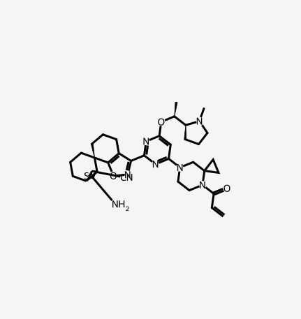 C=CC(=O)N1CCN(c2cc(O[C@@H](C)[C@@H]3CCCN3C)nc(-c3noc4c3CCC[C@@]43CCCc4sc(N)c(C#N)c43)n2)CC12CC2